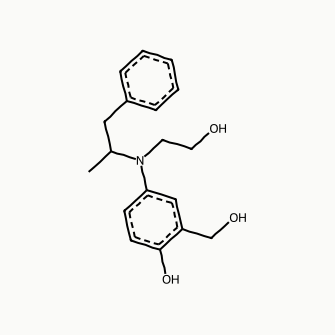 CC(Cc1ccccc1)N(CCO)c1ccc(O)c(CO)c1